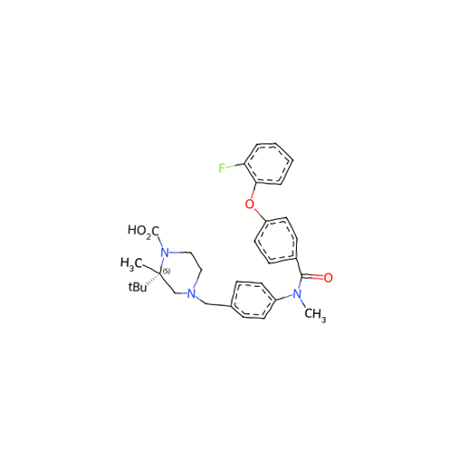 CN(C(=O)c1ccc(Oc2ccccc2F)cc1)c1ccc(CN2CCN(C(=O)O)[C@@](C)(C(C)(C)C)C2)cc1